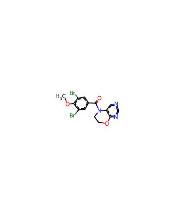 COc1c(Br)cc(C(=O)N2CCOc3ncncc32)cc1Br